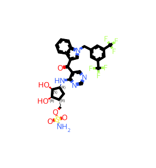 NS(=O)(=O)OC[C@H]1C[C@@H](Nc2ncncc2C(=O)c2cn(Cc3cc(C(F)(F)F)cc(C(F)(F)F)c3)c3ccccc23)[C@H](O)[C@@H]1O